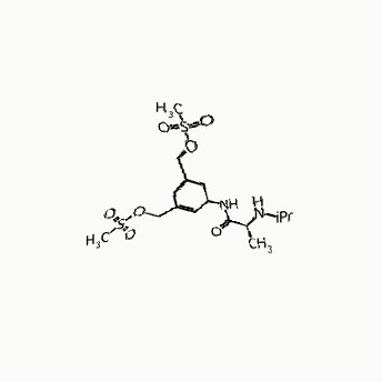 CC(C)N[C@@H](C)C(=O)NC1C=C(COS(C)(=O)=O)CC(COS(C)(=O)=O)C1